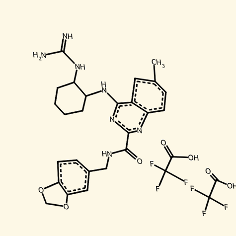 Cc1ccc2nc(C(=O)NCc3ccc4c(c3)OCO4)nc(NC3CCCCC3NC(=N)N)c2c1.O=C(O)C(F)(F)F.O=C(O)C(F)(F)F